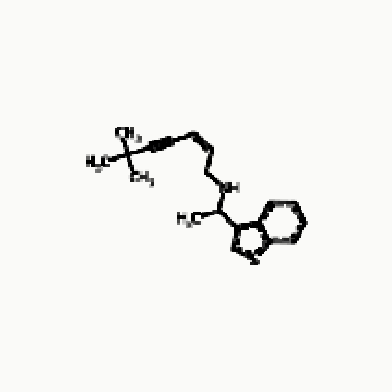 C[C@@H](NC/C=C\C#CC(C)(C)C)c1csc2ccccc12